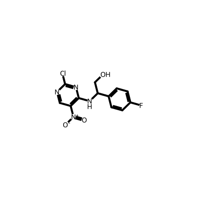 O=[N+]([O-])c1cnc(Cl)nc1NC(CO)c1ccc(F)cc1